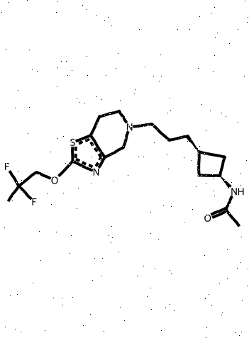 CC(=O)N[C@H]1C[C@@H](CCCN2CCc3sc(OCC(C)(F)F)nc3C2)C1